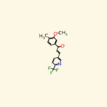 COc1cc(C(=O)C=Cc2ccc(C(F)(F)F)nc2)ccc1C